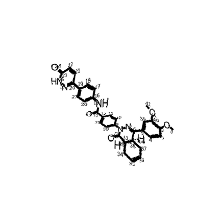 COc1ccc(C2=NN(c3ccc(C(=O)Nc4ccc(-c5ccc(=O)[nH]n5)cc4)cc3)C(=O)[C@@H]3CC=CC[C@H]23)cc1OC